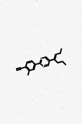 C#Cc1ccc(-c2ncc(/C(=C/CC)CCC)cn2)cc1C